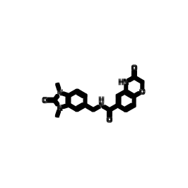 Cn1c(=O)n(C)c2cc(CNC(=O)c3ccc4c(c3)NC(=O)CO4)ccc21